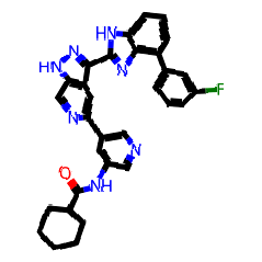 O=C(Nc1cncc(-c2cc3c(-c4nc5c(-c6cccc(F)c6)cccc5[nH]4)n[nH]c3cn2)c1)C1CCCCC1